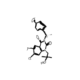 C[C@@H](c1ccc(Cl)cc1)n1c(=O)c2cc(F)c(Cl)cc2n(CC(C)(C)O)c1=O